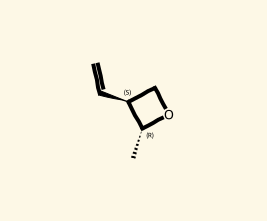 C=C[C@H]1CO[C@@H]1C